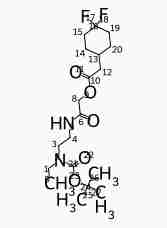 CCN(CCNC(=O)COC(=O)CC1CCC(F)(F)CC1)C(=O)OC(C)(C)C